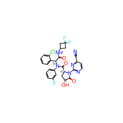 N#Cc1ccnc(N2C(=O)[C@H](O)C[C@H]2C(=O)N(c2cccc(F)c2)[C@H](C(=O)NC2CC(F)(F)C2)c2ccccc2Cl)n1